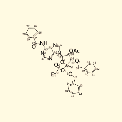 CCC(=O)O[C@]1(COCc2ccccc2)O[C@@H](n2cnc3c(NC(=O)c4ccccc4)ncnc32)[C@H](OC(C)=O)[C@@H]1OCc1ccccc1